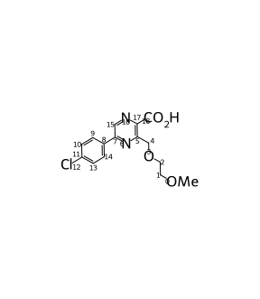 COCCOCc1nc(-c2ccc(Cl)cc2)cnc1C(=O)O